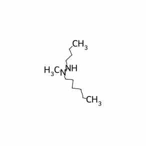 CCCCCCN(C)NCCCC